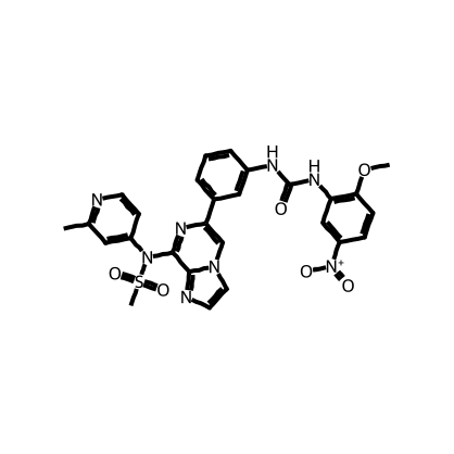 COc1ccc([N+](=O)[O-])cc1NC(=O)Nc1cccc(-c2cn3ccnc3c(N(c3ccnc(C)c3)S(C)(=O)=O)n2)c1